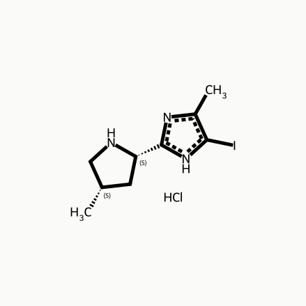 Cc1nc([C@@H]2C[C@H](C)CN2)[nH]c1I.Cl